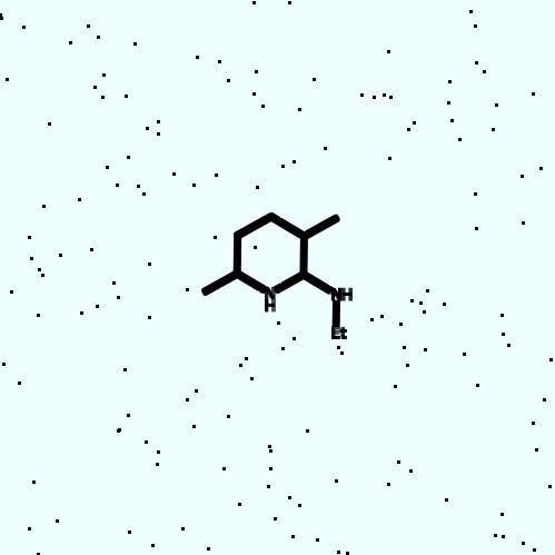 CCNC1NC(C)CCC1C